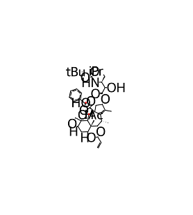 C=CC1OC2[C@@H](C)C3=C(C)[C@@H](OC(=O)[C@H](O)[C@H](CC(C)C)NC(=O)OC(C)(C)C)C[C@@]3(C(C)(C)O)[C@@H](OC(=O)c3ccccc3)[C@@H]3[C@]4(OC(C)=O)CO[C@@H]4C[C@H](O1)[C@@]23C